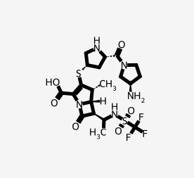 CC(NS(=O)(=O)C(F)(F)F)[C@H]1C(=O)N2C(C(=O)O)=C(S[C@@H]3CN[C@H](C(=O)N4CC[C@@H](N)C4)C3)[C@H](C)[C@H]12